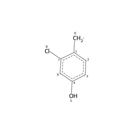 [CH2]c1ccc(O)cc1Cl